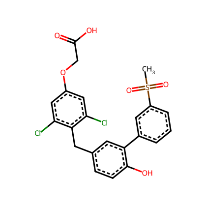 CS(=O)(=O)c1cccc(-c2cc(Cc3c(Cl)cc(OCC(=O)O)cc3Cl)ccc2O)c1